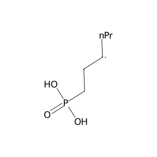 CCC[CH]CCP(=O)(O)O